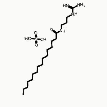 CCCCCCCCCCCCCCCC(=O)NCCCNC(=N)N.O=S(=O)(O)O